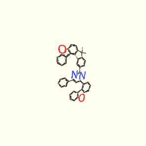 CC1(C)c2ccc(-c3nc(-c4ccccc4)cc(-c4cccc5oc6ccccc6c45)n3)cc2-c2c1ccc1oc3ccccc3c21